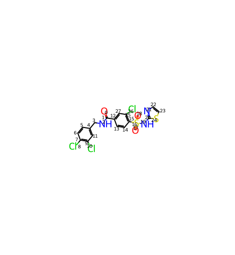 O=C(NCc1ccc(Cl)c(Cl)c1)c1ccc(S(=O)(=O)Nc2nccs2)c(Cl)c1